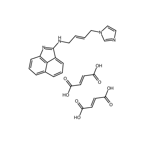 C(=CCn1ccnc1)CNC1=Nc2cccc3cccc1c23.O=C(O)C=CC(=O)O.O=C(O)C=CC(=O)O